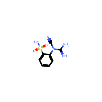 N#CN(C(=N)N)c1ccccc1S(N)(=O)=O